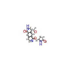 CC(=O)c1c[nH]c(=O)c2cc3ccnc(OCC4CCC(=O)N4)c3cc12